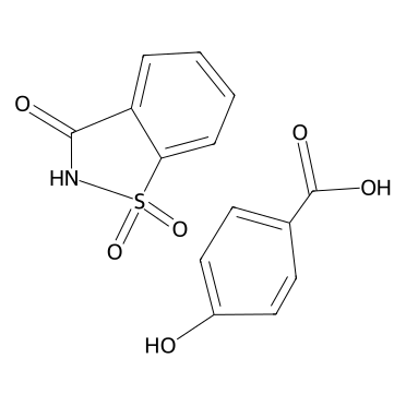 O=C(O)c1ccc(O)cc1.O=C1NS(=O)(=O)c2ccccc21